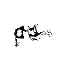 CC(=O)c1cccc(-n2nnc(C(=O)O)c2C(C)C)c1